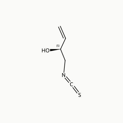 C=C[C@H](O)CN=C=S